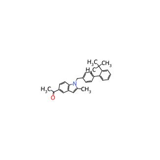 CC(=O)c1ccc2c(c1)cc(C)n2Cc1ccc(-c2ccccc2C(C)(C)C)cc1